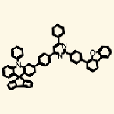 c1ccc(-c2cc(-c3ccc(-c4ccc5c(c4)N(c4ccccc4)c4ccccc4C54c5ccccc5-c5ccccc54)cc3)nc(-c3ccc(-c4cccc5c4oc4ccccc45)cc3)n2)cc1